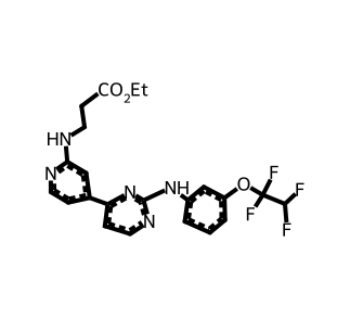 CCOC(=O)CCNc1cc(-c2ccnc(Nc3cccc(OC(F)(F)C(F)F)c3)n2)ccn1